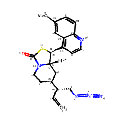 C=C[C@@H](CN=[N+]=[N-])[C@H]1CCN2C(=O)S[C@@H](c3ccnc4ccc(OC)cc34)[C@@H]2C1